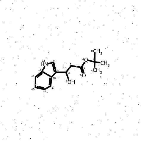 CC(C)(C)OC(=O)CC(O)c1c[nH]c2ccccc12